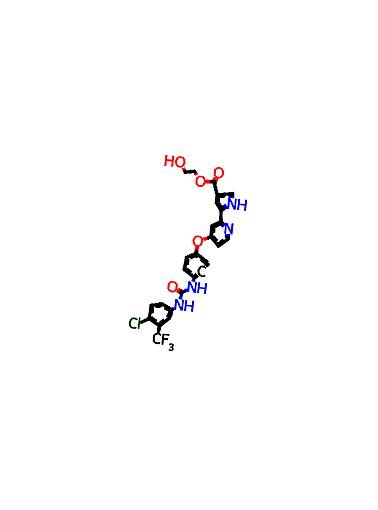 O=C(Nc1ccc(Oc2ccnc(-c3cc(C(=O)OCCO)c[nH]3)c2)cc1)Nc1ccc(Cl)c(C(F)(F)F)c1